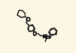 CC(Cc1ccccc1)NCCOc1ccc(COC2CCCCC2)cc1